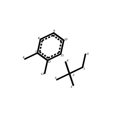 CCC(C)(C)C.Cc1ccccc1C